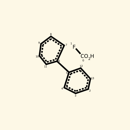 O=C(O)F.c1ccc(-c2ccccc2)cc1